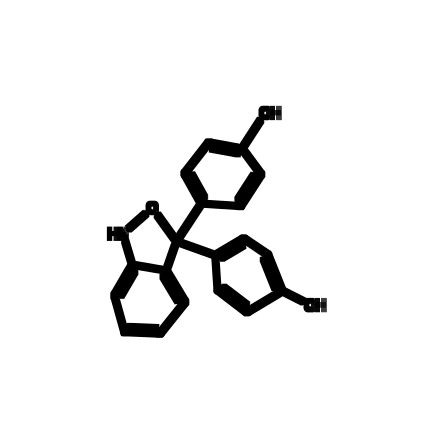 Oc1ccc(C2(c3ccc(O)cc3)ONc3ccccc32)cc1